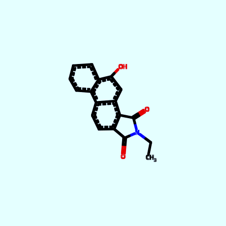 CCN1C(=O)c2ccc3c(cc(O)c4ccccc43)c2C1=O